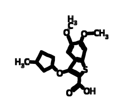 COc1cc2sc(C(=O)O)c(OC3CCC(C)C3)c2cc1OC